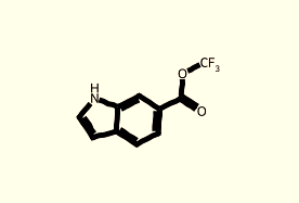 O=C(OC(F)(F)F)c1ccc2cc[nH]c2c1